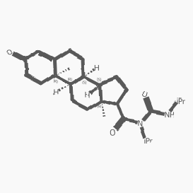 CC(C)NC(=O)N(C(=O)C1CC[C@H]2[C@@H]3CCC4=CC(=O)CC[C@]4(C)[C@@H]3CC[C@]12C)C(C)C